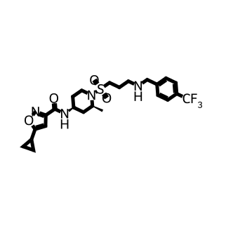 C[C@H]1C[C@@H](NC(=O)c2cc(C3CC3)on2)CCN1S(=O)(=O)CCCNCc1ccc(C(F)(F)F)cc1